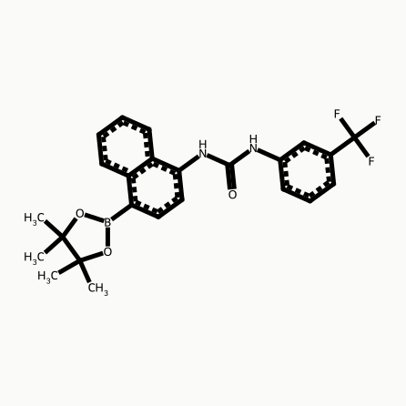 CC1(C)OB(c2ccc(NC(=O)Nc3cccc(C(F)(F)F)c3)c3ccccc23)OC1(C)C